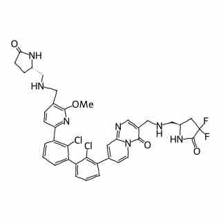 COc1nc(-c2cccc(-c3cccc(-c4ccn5c(=O)c(CNC[C@H]6CC(F)(F)C(=O)N6)cnc5c4)c3Cl)c2Cl)ccc1CNC[C@@H]1CCC(=O)N1